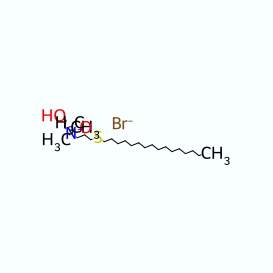 CCCCCCCCCCCCCCCCSCC(C[N+](C)(C)CCO)OC.[Br-]